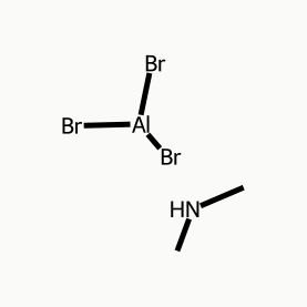 CNC.[Br][Al]([Br])[Br]